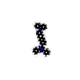 c1ccc(-c2cc(-c3ccc4cc5c(cc4c3)Cc3ccc(-n4c6ccccc6c6ccccc64)cc3C5)nc(-c3ccccc3)n2)cc1